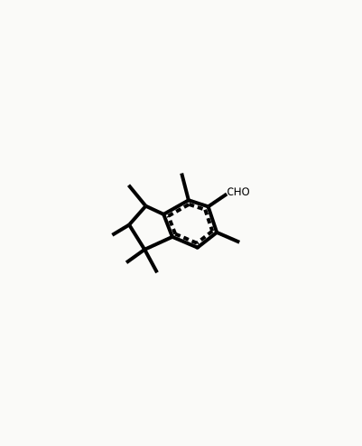 Cc1cc2c(c(C)c1C=O)C(C)C(C)C2(C)C